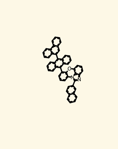 c1cc(-c2c3ccccc3c(-c3cc4ccccc4c4ccccc34)c3ccccc23)c2c(c1)-n1c(-c3ccc4ccccc4c3)nc3cccc(c31)O2